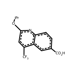 CC(C)Oc1cc(C(F)(F)F)c2cc(C(=O)O)ccc2n1